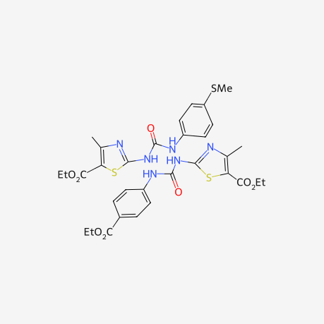 CCOC(=O)c1ccc(NC(=O)Nc2nc(C)c(C(=O)OCC)s2)cc1.CCOC(=O)c1sc(NC(=O)Nc2ccc(SC)cc2)nc1C